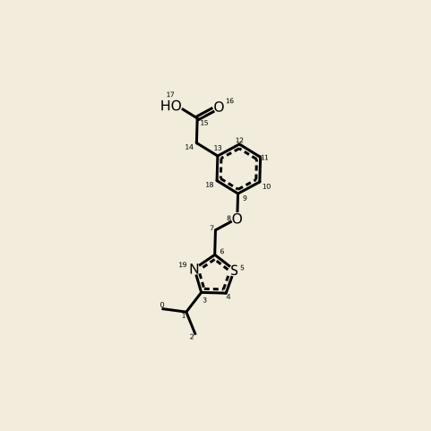 CC(C)c1csc(COc2cccc(CC(=O)O)c2)n1